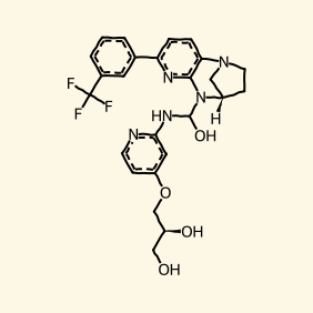 OC[C@H](O)COc1ccnc(NC(O)N2c3nc(-c4cccc(C(F)(F)F)c4)ccc3N3CC[C@H]2C3)c1